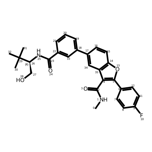 CNC(=O)c1c(-c2ccc(F)cc2)oc2ccc(-c3cccc(C(=O)N[C@@H](CO)C(C)(C)C)c3)cc12